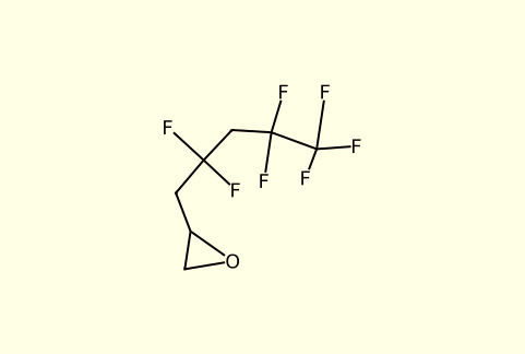 FC(F)(CC1CO1)CC(F)(F)C(F)(F)F